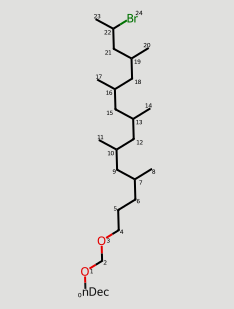 CCCCCCCCCCOCOCCCC(C)CC(C)CC(C)CC(C)CC(C)CC(C)Br